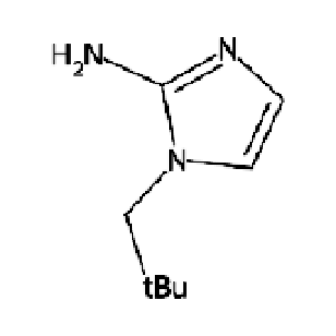 CC(C)(C)Cn1ccnc1N